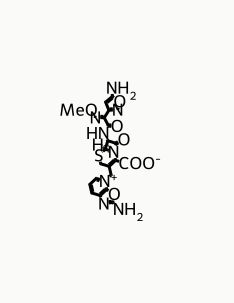 CON=C(C(=O)NC1C(=O)N2C(C(=O)[O-])=C(C[n+]3cccc4nc(N)oc43)CS[C@@H]12)c1cc(N)on1